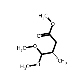 COC(=O)C[C@H](C)C(OC)OC